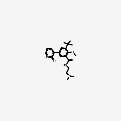 COc1c(C(=O)NCCN(C)C)cc(-c2ccc[nH]c2=O)cc1C(C)(C)C